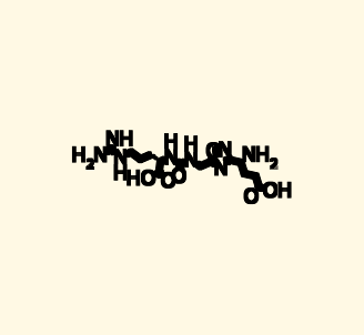 N=C(N)NCCC[C@H](NC(=O)NCc1nc([C@@H](N)CCC(=O)O)no1)C(=O)O